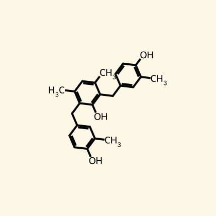 Cc1cc(Cc2c(C)cc(C)c(Cc3ccc(O)c(C)c3)c2O)ccc1O